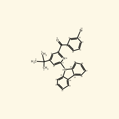 CC(C)(C)c1cc(C(=O)c2cccc(Br)c2)nc(-n2c3ccccc3c3ccccc32)c1